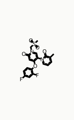 Cc1cccn(-c2cn(CS(C)(=O)=O)c(=O)cc2Oc2ccc(F)cc2F)c1=O